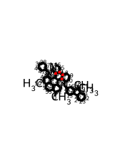 Cc1cc(N(c2ccccc2)c2ccc3c(c2)C(C)(C)c2ccccc2-3)c2c3ccccc3c3c(N(c4ccccc4)c4ccccn4)cc(C)c4ccc1c2c43